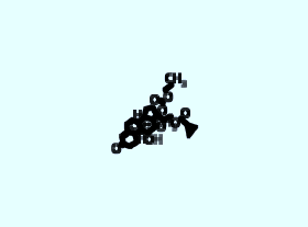 CCCOC(=O)O[C@]1(C(=O)COC(=O)C2CC2)CC[C@H]2[C@@H]3CCC4=CC(=O)CC[C@]4(C)[C@H]3[C@@H](O)C[C@@]21C